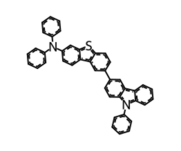 c1ccc(N(c2ccccc2)c2ccc3c(c2)sc2ccc(-c4ccc5c(c4)c4ccccc4n5-c4ccccc4)cc23)cc1